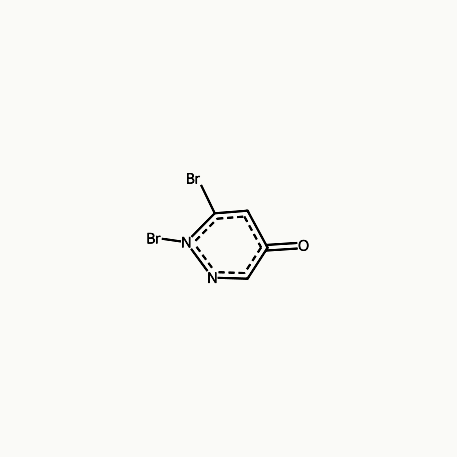 O=c1cnn(Br)c(Br)c1